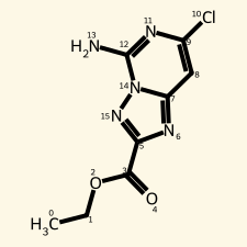 CCOC(=O)c1nc2cc(Cl)nc(N)n2n1